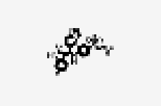 CN(C)CCN(c1ccc(NC(=C2C(=O)Nc3cc(F)ccc32)c2ccc3nccn3c2)cc1)S(C)(=O)=O